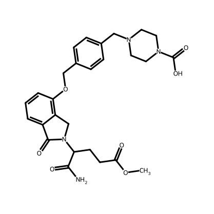 COC(=O)CCC(C(N)=O)N1Cc2c(OCc3ccc(CN4CCN(C(=O)O)CC4)cc3)cccc2C1=O